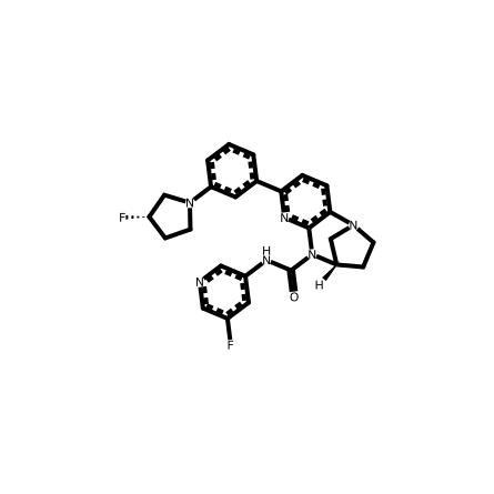 O=C(Nc1cncc(F)c1)N1c2nc(-c3cccc(N4CC[C@H](F)C4)c3)ccc2N2CC[C@H]1C2